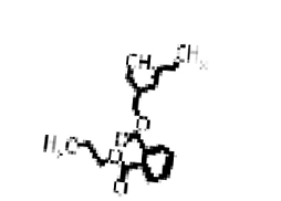 CCCCC(CC)COC(=O)c1ccccc1C(=O)OCCC